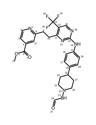 COC(=O)c1ccnc(CCc2nc(Nc3ccc(C4CCN(BC=O)CC4)cc3)ncc2C(F)(F)F)c1